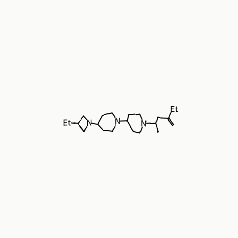 C=C(CC)CC(C)N1CCC(N2CCC(N3CC(CC)C3)CC2)CC1